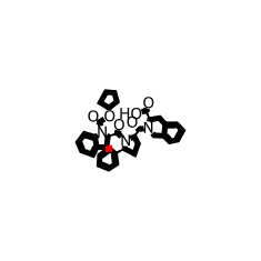 O=C(O)[C@H]1Cc2ccccc2CN1C(=O)[C@H]1CC[C@@H](c2ccccc2)N1C(=O)[C@H]1Cc2ccccc2N1C(=O)OC1CCCC1